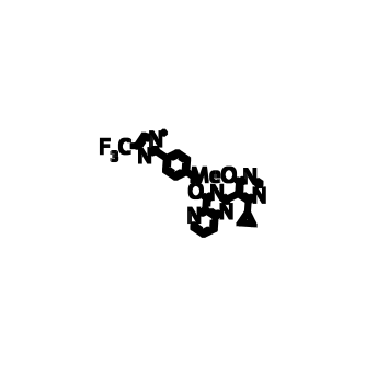 COc1ncnc(C2CC2)c1-c1nc(OCc2ccc(-c3nc(C(F)(F)F)cn3C)cc2)c2ncccc2n1